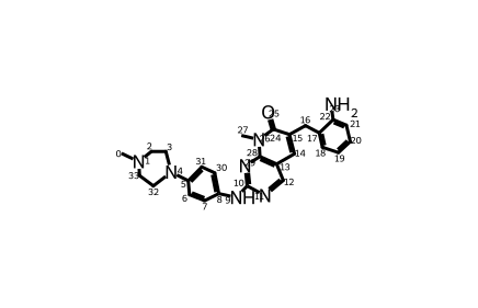 CN1CCN(c2ccc(Nc3ncc4cc(Cc5ccccc5N)c(=O)n(C)c4n3)cc2)CC1